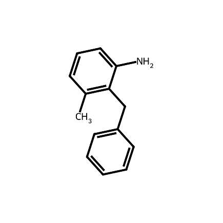 Cc1cccc(N)c1Cc1ccccc1